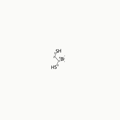 SCCS.[Bi]